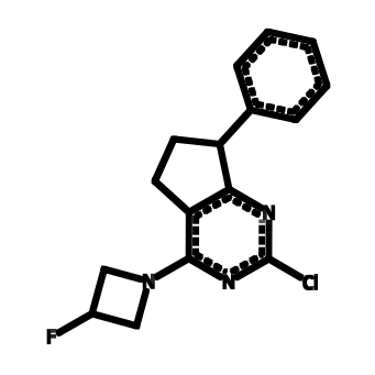 FC1CN(c2nc(Cl)nc3c2CCC3c2ccccc2)C1